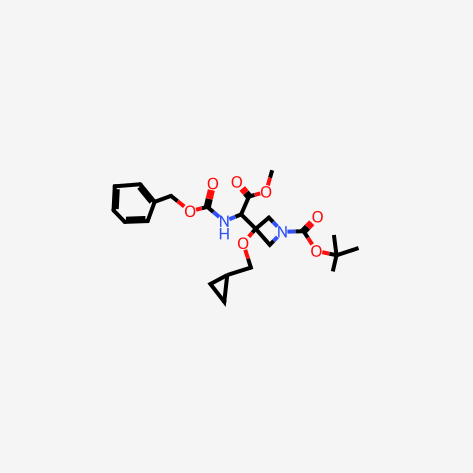 COC(=O)C(NC(=O)OCc1ccccc1)C1(OCC2CC2)CN(C(=O)OC(C)(C)C)C1